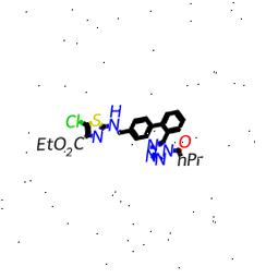 CCCC(=O)n1nnnc1-c1ccccc1-c1ccc(CNc2nc(C(=O)OCC)c(Cl)s2)cc1